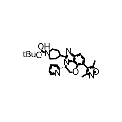 Cc1noc(C)c1-c1ccc2nc(C3CCN(C(O)OC(C)(C)C)CC3)n3c2c1OC[C@@H]3c1ccccn1